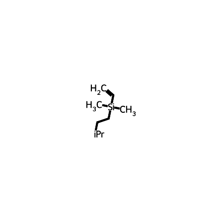 C=C[Si](C)(C)CCC(C)C